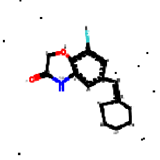 O=C1COc2c(F)cc(C=C3CCCCC3)cc2N1